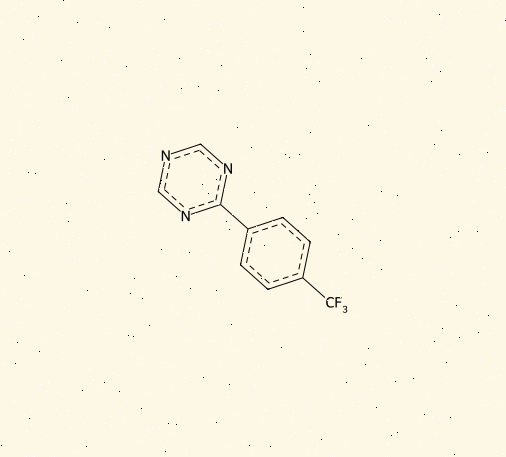 FC(F)(F)c1ccc(-c2ncncn2)cc1